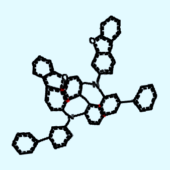 c1ccc(-c2cccc(N(c3ccc4c(c3)oc3ccccc34)c3ccccc3-c3ccccc3N(c3cccc(-c4ccccc4)c3)c3ccc4c(c3)oc3ccccc34)c2)cc1